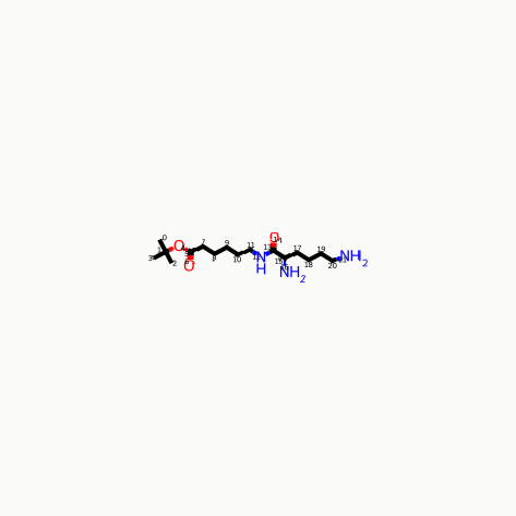 CC(C)(C)OC(=O)CCCCCNC(=O)[C@H](N)CCCCN